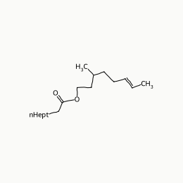 C/C=C/CCC(C)CCOC(=O)CCCCCCCC